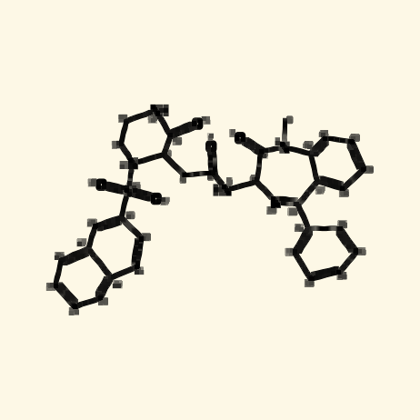 CN1C(=O)C(NC(=O)CC2C(=O)NCCN2S(=O)(=O)c2ccc3ccccc3c2)N=C(c2ccccc2)c2ccccc21